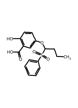 CCCC(Oc1ccc(O)c(C(=O)O)c1)S(=O)(=O)c1ccccc1